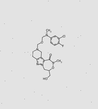 CN1OC(CO)Cn2nc3c(c2C1=O)CN(COCN(C)c1ccc(F)c(Cl)c1)CC3